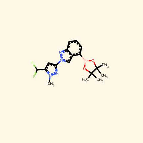 Cn1nc(-n2cc3c(B4OC(C)(C)C(C)(C)O4)cccc3n2)cc1C(F)F